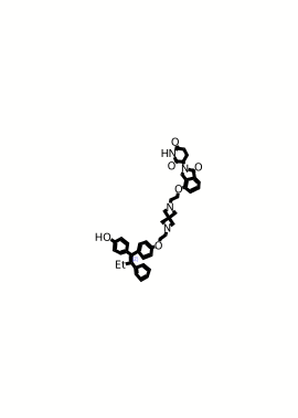 CC/C(=C(\c1ccc(O)cc1)c1ccc(OCCN2CC3(C2)CN(CCOc2cccc4c2CN(C2CCC(=O)NC2=O)C4=O)C3)cc1)c1ccccc1